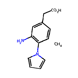 C.Nc1cc(CC(=O)O)ccc1-n1cccc1